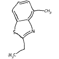 [CH2]Cc1nc2c(C)cccc2s1